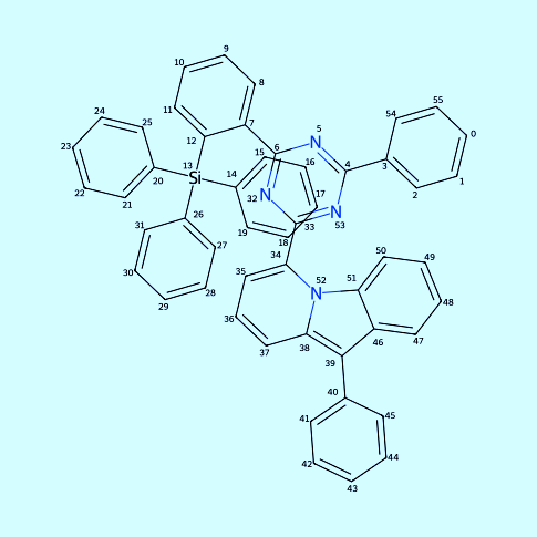 c1ccc(-c2nc(-c3ccccc3[Si](c3ccccc3)(c3ccccc3)c3ccccc3)nc(-c3cccc4c(-c5ccccc5)c5ccccc5n34)n2)cc1